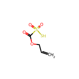 C=CCOC(=O)S(=O)(=O)S